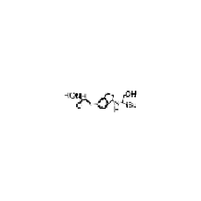 CCC(C)C(CO)NC1CCc2cc(C=CC(=O)NO)ccc21